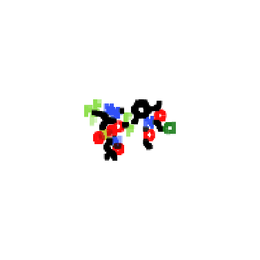 CCOCN(C(=O)CCl)c1c(C)cccc1CC.Cn1nc(C(F)(F)F)c(CS(=O)(=O)C2=NOC(C)(C)C2)c1OC(F)F